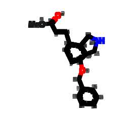 COC(=O)C=Cc1ccc(OCc2ccccc2)c2c1CNC2